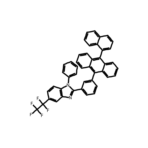 FC(F)(F)C(F)(F)c1ccc2c(c1)nc(-c1cccc(-c3c4ccccc4c(-c4cccc5ccccc45)c4ccccc34)c1)n2-c1ccccc1